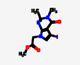 COC(=O)Cn1cc(I)c2c(=O)n(C)c(C)nc21